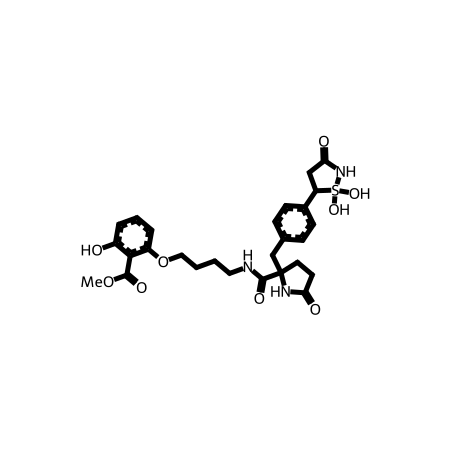 COC(=O)c1c(O)cccc1OCCCCNC(=O)C1(Cc2ccc(C3CC(=O)NS3(O)O)cc2)CCC(=O)N1